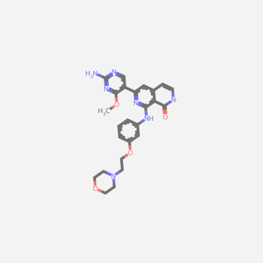 COc1nc(N)ncc1-c1cc2c(c(Nc3cccc(OCCN4CCOCC4)c3)n1)C(=O)[N]C=C2